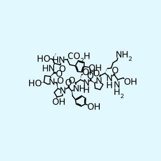 C[C@@H](O)[C@H](NC(=O)[C@@H]1C[C@@H](O)CN1C(=O)[C@@H]1C[C@@H](O)CN1C(=O)[C@H](Cc1ccc(O)cc1)NC(=O)[C@H](CO)NC(=O)[C@@H]1CCCN1C(=O)[C@H](CCCCN)NC(=O)[C@@H](N)CO)C(=O)N[C@@H](Cc1ccc(O)cc1)C(=O)O